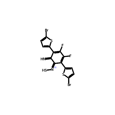 N=C1C(c2ccc(Br)s2)=C(F)C(F)=C(c2ccc(Br)s2)/C1=N/S